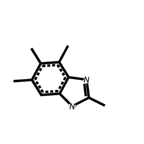 CC1=Nc2c(cc(C)c(C)c2C)[N]1